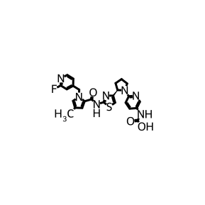 Cc1cc(C(=O)Nc2nc([C@H]3CCCN3c3ccc(NC(=O)O)cn3)cs2)n(Cc2ccnc(F)c2)c1